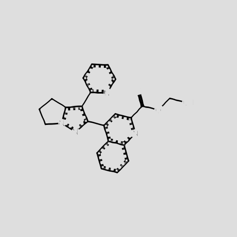 CCOC(=O)c1cc(-c2nn3c(c2-c2ccccn2)CCC3)c2ccccc2n1